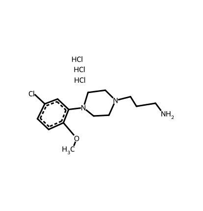 COc1ccc(Cl)cc1N1CCN(CCCN)CC1.Cl.Cl.Cl